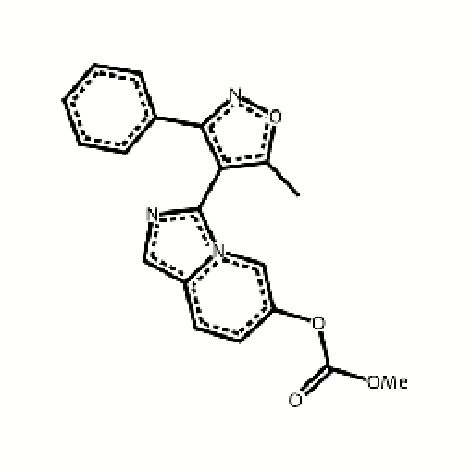 COC(=O)Oc1ccc2cnc(-c3c(-c4ccccc4)noc3C)n2c1